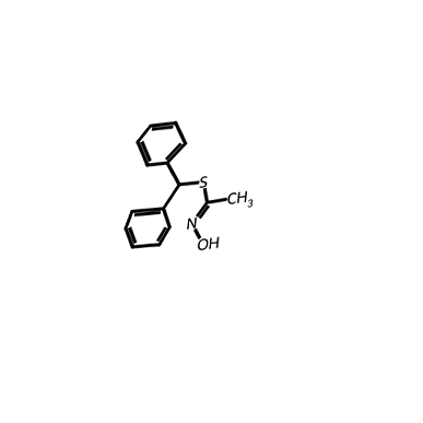 CC(=NO)SC(c1ccccc1)c1ccccc1